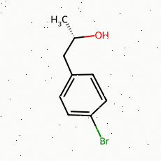 C[C@H](O)Cc1ccc(Br)cc1